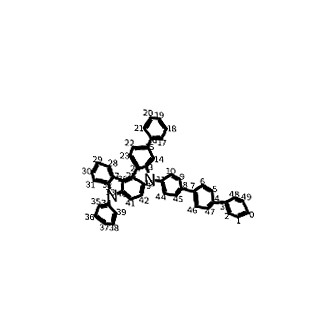 c1ccc(-c2ccc(-c3ccc(-n4c5cc(-c6ccccc6)ccc5c5c6c7ccccc7n(-c7ccccc7)c6ccc54)cc3)cc2)cc1